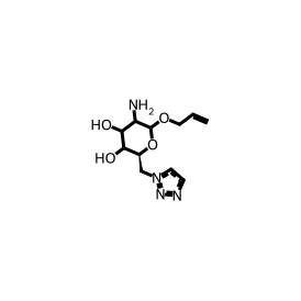 C=CCOC1O[C@@H](Cn2ccnn2)C(O)C(O)C1N